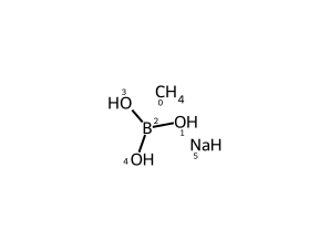 C.OB(O)O.[NaH]